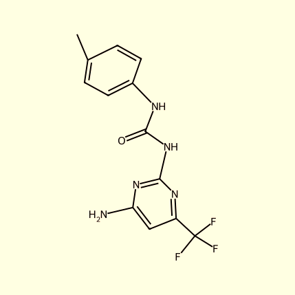 Cc1ccc(NC(=O)Nc2nc(N)cc(C(F)(F)F)n2)cc1